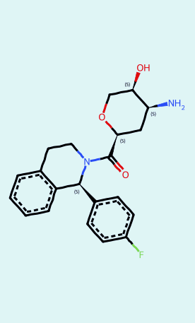 N[C@H]1C[C@@H](C(=O)N2CCc3ccccc3[C@@H]2c2ccc(F)cc2)OC[C@H]1O